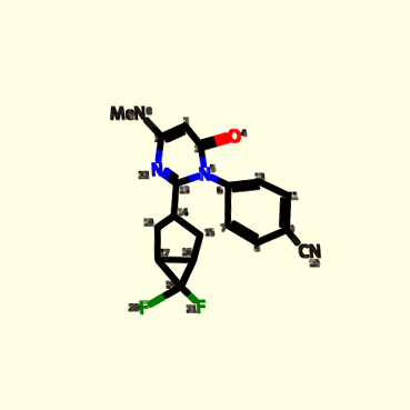 CNc1cc(=O)n(-c2ccc(C#N)cc2)c(C2CC3C(C2)C3(F)F)n1